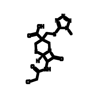 Cn1nnnc1SCC1(C(=O)O)CS[C@@H]2C(NC(=O)CCl)C(=O)N2C1